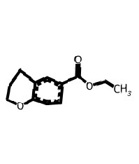 CCOC(=O)c1ccc2c(c1)CCCO2